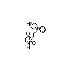 O=C1CCNC(=O)N1CCC[N+]1(c2ccccc2)CCNCC1